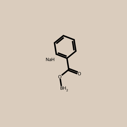 BOC(=O)c1ccccc1.[NaH]